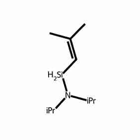 CC(C)=C[SiH2]N(C(C)C)C(C)C